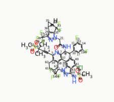 CC(C)(C#Cc1nc([C@H](Cc2cc(F)cc(F)c2)NC(=O)Cn2nc(C(F)(F)F)c3c2C(F)(F)[C@@H]2CC32)c(-c2ccc(Cl)c3c(NS(C)(=O)=O)nn(CC(F)(F)F)c23)c2c1CCCC2)S(C)(=O)=O